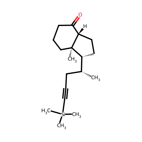 C[C@H](CC#C[Si](C)(C)C)[C@H]1CC[C@H]2C(=O)CCC[C@]12C